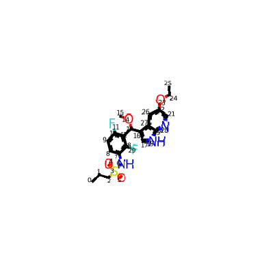 CCCS(=O)(=O)Nc1ccc(F)c(C(OC)c2c[nH]c3ncc(OCC)cc23)c1F